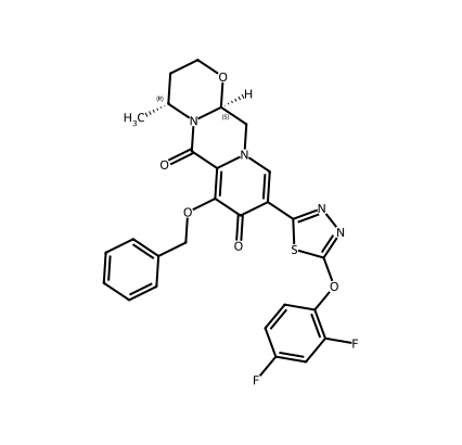 C[C@@H]1CCO[C@H]2Cn3cc(-c4nnc(Oc5ccc(F)cc5F)s4)c(=O)c(OCc4ccccc4)c3C(=O)N12